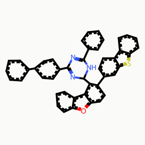 c1ccc(C2=NC(c3ccc(-c4ccccc4)cc3)=NC(c3c(-c4ccc5c(c4)sc4ccccc45)ccc4oc5ccccc5c34)N2)cc1